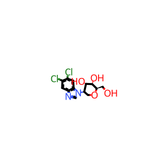 OC[C@H]1OC[C@@H](n2cnc3cc(Cl)c(Cl)cc32)[C@H](O)[C@@H]1O